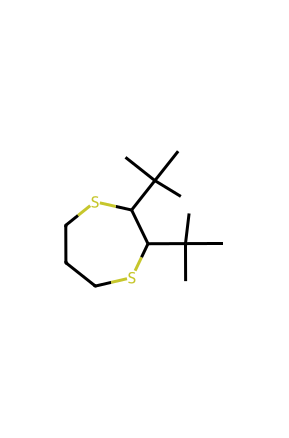 CC(C)(C)C1SCCCSC1C(C)(C)C